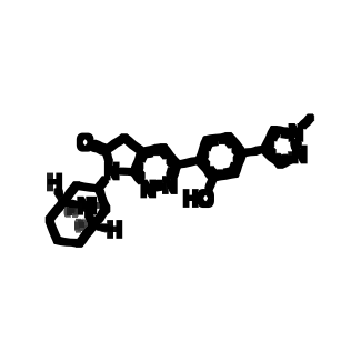 Cn1cc(-c2ccc(-c3cc4c(nn3)N(C3C[C@H]5CCC[C@@H](C3)N5)C(=O)C4)c(O)c2)cn1